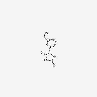 CC(C)Cc1cccc(C2NC(=O)NC2=O)c1